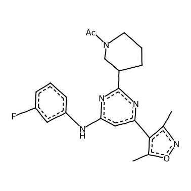 CC(=O)N1CCCC(c2nc(Nc3cccc(F)c3)cc(-c3c(C)noc3C)n2)C1